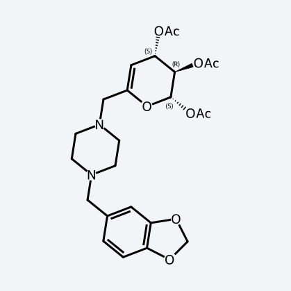 CC(=O)O[C@@H]1OC(CN2CCN(Cc3ccc4c(c3)OCO4)CC2)=C[C@H](OC(C)=O)[C@H]1OC(C)=O